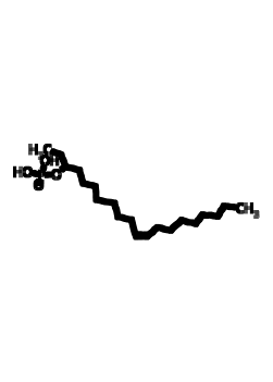 CCCCCCCC/C=C\CCCCCCCC(CC)OP(=O)(O)O